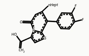 C=C(O)c1csc2c(-c3ccc(F)c(F)c3)c(CCCCCCC)cc(=O)n12